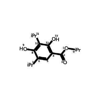 CC(C)OC(=O)c1cc(C(C)C)c(O)c(C(C)C)c1O